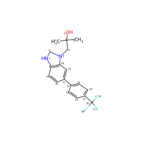 CC(C)(O)CN1CNc2ccc(-c3ccc(C(F)(F)F)cc3)cc21